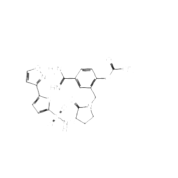 N=C(N)c1ccc(OC(=O)C(F)(F)F)c(CN2CC[C@H](NS(=O)(=O)c3ccc(-c4ccon4)s3)C2=O)c1